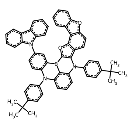 CC(C)(C)c1ccc(N2c3ccc(-n4c5ccccc5c5ccccc54)cc3B3c4oc5c(ccc6oc7ccccc7c65)c4N(c4ccc(C(C)(C)C)cc4)c4cccc2c43)cc1